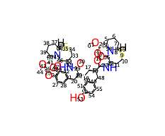 COC(=O)[C@@H]1CCC[C@@H]2SCC[C@H](NC(=O)[C@H](CC[C@H](Cc3ccc(OC)cc3)C(=O)N[C@H]3CCS[C@H]4CCC[C@@H](C(=O)OC)N4C3=O)Cc3ccc(O)cc3)C(=O)N21